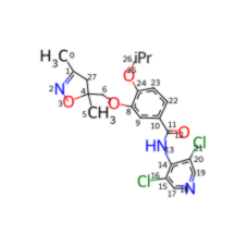 CC1=NOC(C)(COc2cc(C(=O)Nc3c(Cl)cncc3Cl)ccc2OC(C)C)C1